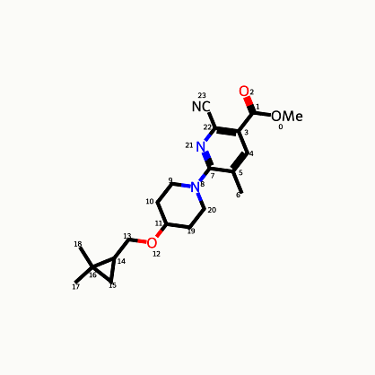 COC(=O)c1cc(C)c(N2CCC(OCC3CC3(C)C)CC2)nc1C#N